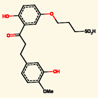 COc1ccc(CCC(=O)c2cc(OCCCS(=O)(=O)O)ccc2O)cc1O